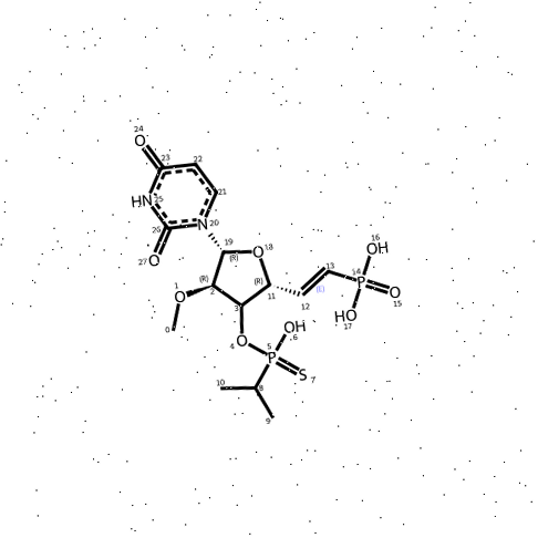 CO[C@@H]1C(OP(O)(=S)C(C)C)[C@@H](/C=C/P(=O)(O)O)O[C@H]1n1ccc(=O)[nH]c1=O